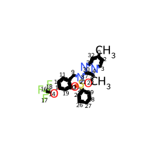 Cc1ccn2c(C)c(N(Cc3ccc(OC(F)(F)F)cc3)S(=O)(=O)c3ccccc3)nc2c1